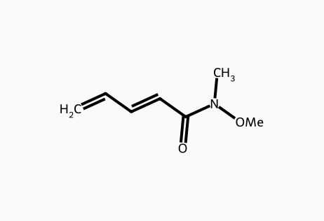 C=CC=CC(=O)N(C)OC